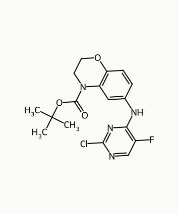 CC(C)(C)OC(=O)N1CCOc2ccc(Nc3nc(Cl)ncc3F)cc21